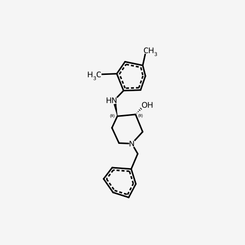 Cc1ccc(N[C@@H]2CCN(Cc3ccccc3)C[C@H]2O)c(C)c1